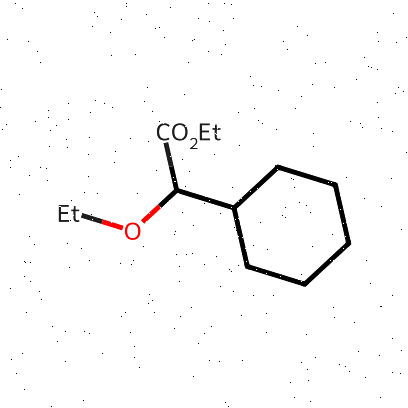 CCOC(=O)C(OCC)C1CCCCC1